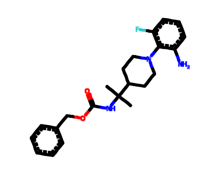 CC(C)(NC(=O)OCc1ccccc1)C1CCN(c2c(N)cccc2F)CC1